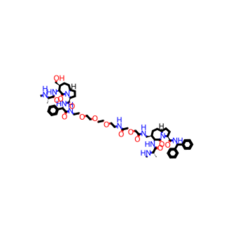 CN[C@@H](C)C(=O)N[C@@H]1C(=O)N2[C@@H](CC[C@@H]1CNC(=O)COCC(=O)NCCOCCOCCOCCNC(=O)[C@@H](NC(=O)[C@@H]1CC[C@@H]3CC[C@H](CO)[C@H](NC(=O)[C@H](C)NC)C(=O)N31)c1ccccc1)CC[C@H]2C(=O)NC(c1ccccc1)c1ccccc1